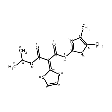 Cc1nc(NC(=O)C(C(=O)OC(C)C)=C2SC=CS2)sc1C